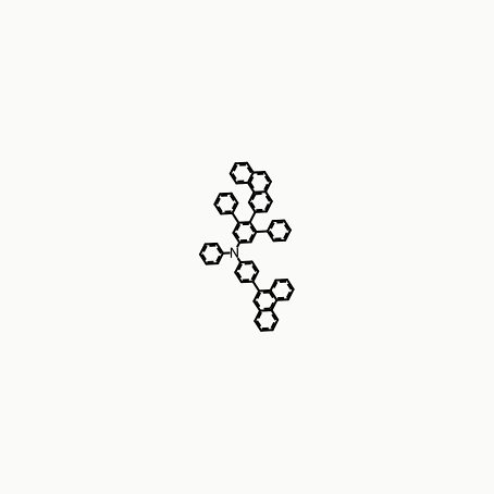 c1ccc(-c2cc(N(c3ccccc3)c3ccc(-c4cc5ccccc5c5ccccc45)cc3)cc(-c3ccccc3)c2-c2ccc3ccc4ccccc4c3c2)cc1